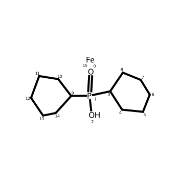 O=P(O)(C1CCCCC1)C1CCCCC1.[Fe]